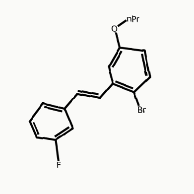 CCCOc1ccc(Br)c(/C=C/c2cccc(F)c2)c1